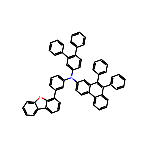 c1ccc(-c2ccc(N(c3cccc(-c4cccc5c4oc4ccccc45)c3)c3ccc4c(c3)c(-c3ccccc3)c(-c3ccccc3)c3ccccc34)cc2-c2ccccc2)cc1